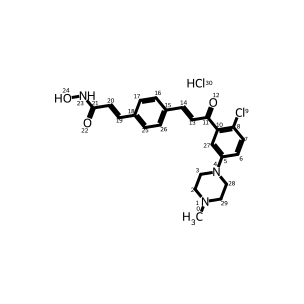 CN1CCN(c2ccc(Cl)c(C(=O)C=Cc3ccc(C=CC(=O)NO)cc3)c2)CC1.Cl